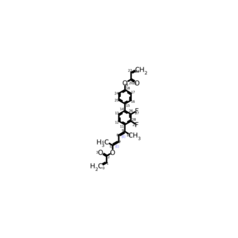 C=CC(=O)O/C(C)=C/C=C(\C)c1ccc(-c2ccc(OC(=O)C=C)cc2)c(F)c1F